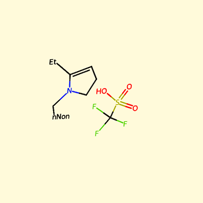 CCCCCCCCCCN1CCC=C1CC.O=S(=O)(O)C(F)(F)F